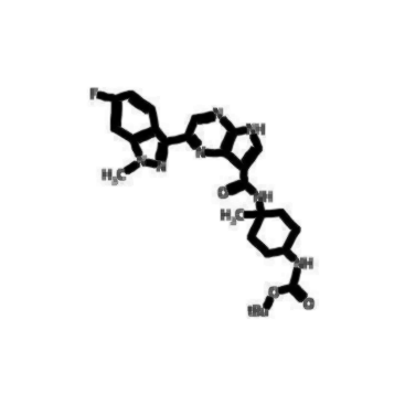 Cn1nc(-c2cnc3[nH]cc(C(=O)NC4(C)CCC(NC(=O)OC(C)(C)C)CC4)c3n2)c2ccc(F)cc21